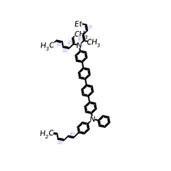 C=C/C=C\C=C\c1ccc(N(c2ccccc2)c2ccc(-c3ccc(-c4ccc(-c5ccc(N(C(/C=C\C=C/C)=C\C)/C(C)=C/C=C\CC)cc5)cc4)cc3)cc2)cc1